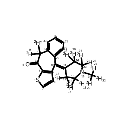 [2H]C1([2H])C(=O)c2sccc2C(=C2C([2H])([2H])C([2H])([2H])N(C([2H])([2H])[2H])C([2H])([2H])C2([2H])[2H])c2ccccc21